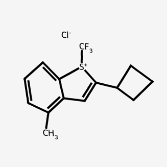 Cc1cccc2c1cc(C1CCC1)[s+]2C(F)(F)F.[Cl-]